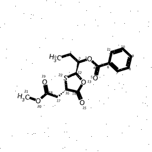 CCC(OC(=O)c1ccccc1)[C@H]1OC(=O)[C@H](CC(=O)OC)S1